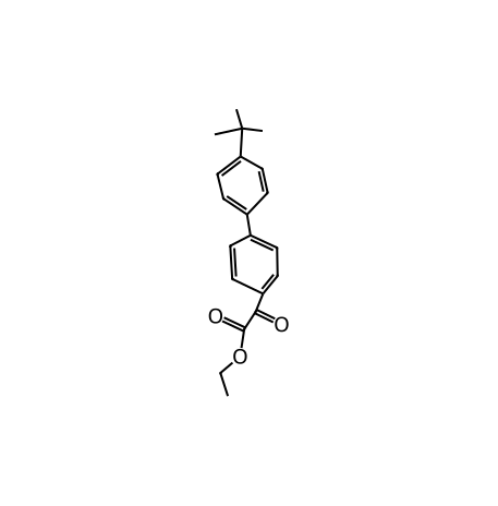 CCOC(=O)C(=O)c1ccc(-c2ccc(C(C)(C)C)cc2)cc1